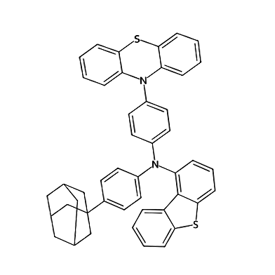 c1ccc2c(c1)Sc1ccccc1N2c1ccc(N(c2ccc(C34CC5CC(CC(C5)C3)C4)cc2)c2cccc3sc4ccccc4c23)cc1